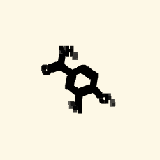 [2H]c1cc(C(N)=O)ccc1C(F)(F)F